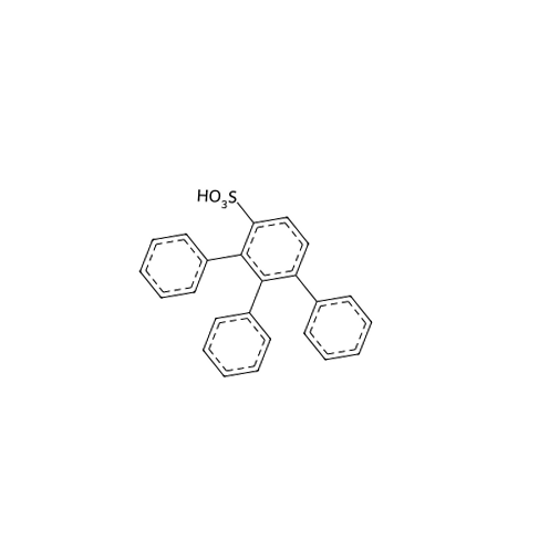 O=S(=O)(O)c1ccc(-c2ccccc2)c(-c2ccccc2)c1-c1ccccc1